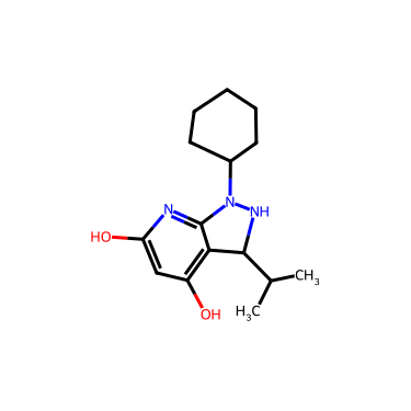 CC(C)C1NN(C2CCCCC2)c2nc(O)cc(O)c21